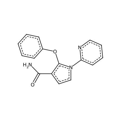 NC(=O)c1ccn(-c2ccccn2)c1Oc1ccccc1